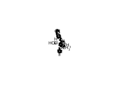 CN(C)c1c(OCc2ccc(F)cc2)ccc2c(CCC3CCN(CC4OCCO4)CC3)noc12.Cl.Cl